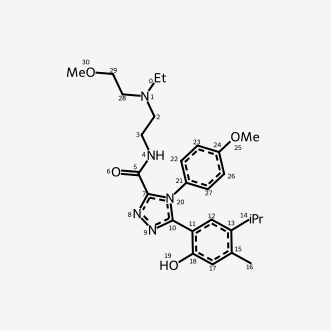 CCN(CCNC(=O)c1nnc(-c2cc(C(C)C)c(C)cc2O)n1-c1ccc(OC)cc1)CCOC